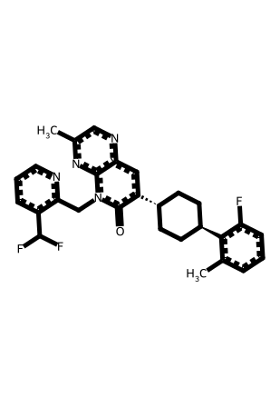 Cc1cnc2cc([C@H]3CC[C@H](c4c(C)cccc4F)CC3)c(=O)n(Cc3ncccc3C(F)F)c2n1